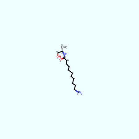 NCCCCCCCCCCC(=O)N[C@H]([C]=O)CO